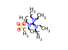 CCN(CC)C(N(CC)CC)=[N+](CC)CC.CS(=O)(=O)[O-]